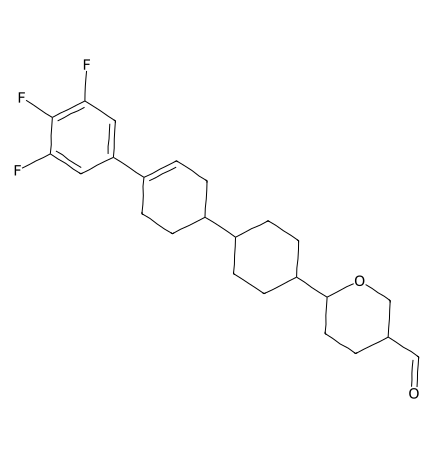 O=CC1CCC(C2CCC(C3CC=C(c4cc(F)c(F)c(F)c4)CC3)CC2)OC1